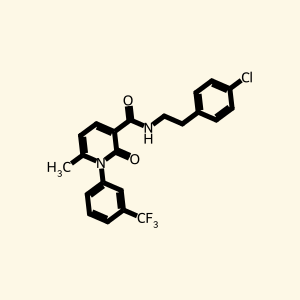 Cc1ccc(C(=O)NCCc2ccc(Cl)cc2)c(=O)n1-c1cccc(C(F)(F)F)c1